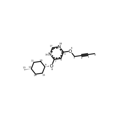 CC#CCOc1cc(O[C@H]2CC[C@@H](C)CC2)ncn1